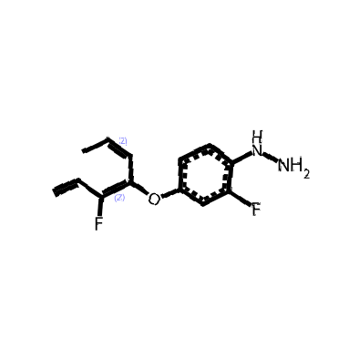 C=C/C(F)=C(\C=C/C)Oc1ccc(NN)c(F)c1